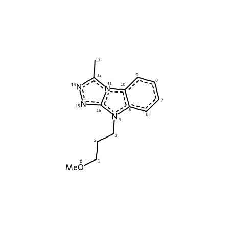 COCCCn1c2ccccc2n2c(C)nnc12